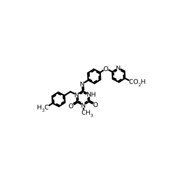 Cc1ccc(Cn2c(=O)n(C)c(=O)[nH]/c2=N\c2ccc(Oc3ccc(C(=O)O)cn3)cc2)cc1